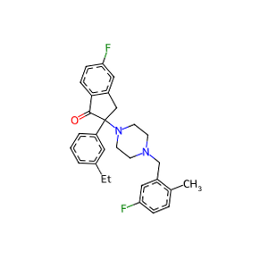 CCc1cccc(C2(N3CCN(Cc4cc(F)ccc4C)CC3)Cc3cc(F)ccc3C2=O)c1